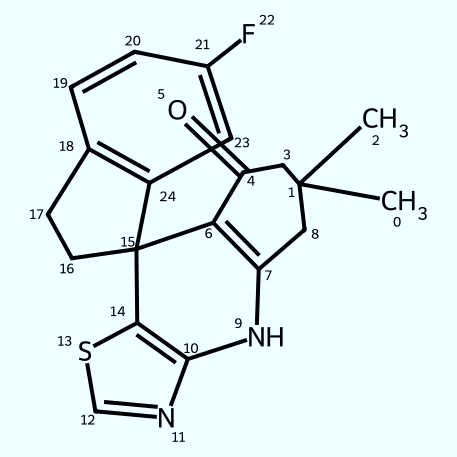 CC1(C)CC(=O)C2=C(C1)Nc1ncsc1C21CCc2ccc(F)cc21